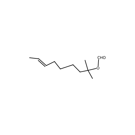 C/C=C/CCCCC(C)(C)OC=O